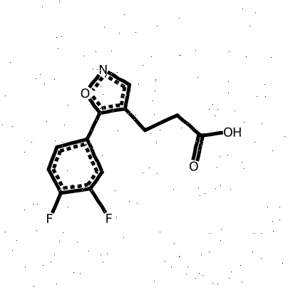 O=C(O)CCc1cnoc1-c1ccc(F)c(F)c1